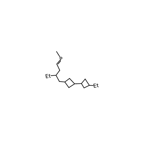 CCC(C/C=P/C)CC1CC(C2CC(CC)C2)C1